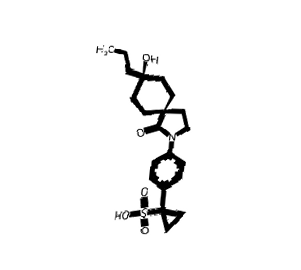 CCC[C@]1(O)CC[C@]2(CCN(c3ccc(C4(S(=O)(=O)O)CC4)cc3)C2=O)CC1